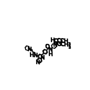 CC(C)(C)OC(=O)N1CCC(NC(=O)c2ccc(-c3cc(NCCCN4CCCCC4)c4cnccc4n3)cc2)CC1